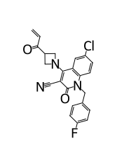 C=CC(=O)C1CN(c2c(C#N)c(=O)n(Cc3ccc(F)cc3)c3ccc(Cl)cc23)C1